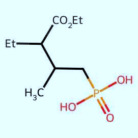 CCOC(=O)C(CC)C(C)CP(=O)(O)O